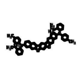 Cc1ccc(N(c2ccc3cc4c(cc3c2)oc2cc3oc5cc6cc(N(c7ccc(C)cc7)c7ccccc7C(C)C)ccc6cc5c3cc24)c2ccccc2C(C)C)cc1